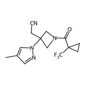 Cc1cnn(C2(CC#N)CN(C(=O)C3(C(F)(F)F)CC3)C2)c1